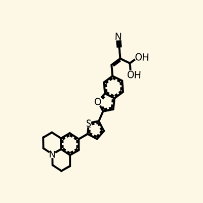 N#C/C(=C/c1ccc2cc(-c3ccc(-c4cc5c6c(c4)CCCN6CCC5)s3)oc2c1)C(O)O